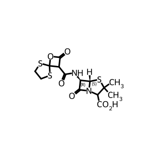 CC1(C)S[C@H]2[C@H](NC(=O)C3C(=O)OC34SCCS4)C(=O)N2C1C(=O)O